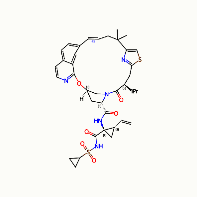 C=C[C@@H]1C[C@]1(NC(=O)[C@@H]1C[C@@H]2CN1C(=O)[C@H](C(C)C)Cc1nc(cs1)C(C)(C)C/C=C/c1ccc3ccnc(c3c1)O2)C(=O)NS(=O)(=O)C1CC1